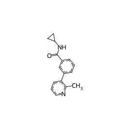 Cc1ncccc1-c1cccc(C(=O)NC2CC2)c1